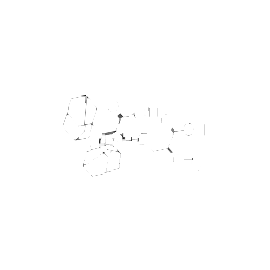 C=C(COCC(C(=O)O)=C(C12CC3CC(CC(C3)C1C)C2)C12CC3CC(CC(C3)C1C)C2)C(=O)O